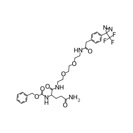 NC(=O)CCC(NC(=O)OCc1ccccc1)C(=O)NCCOCCOCCNC(=O)Cc1ccc(C2(C(F)(F)F)N=N2)cc1